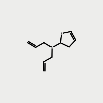 C=CCN(CC=C)[C]1CC=CS1